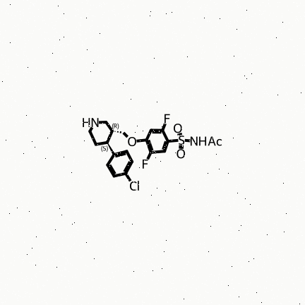 CC(=O)NS(=O)(=O)c1cc(F)c(OC[C@H]2CNCC[C@@H]2c2ccc(Cl)cc2)cc1F